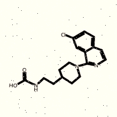 O=C(O)NCCC1CCN(c2nccc3ccc(Cl)cc23)CC1